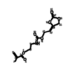 C=C(C)C(=O)OCCNC(=O)OC/C=C1/COC(=O)O1